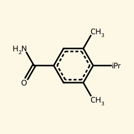 Cc1cc(C(N)=O)cc(C)c1C(C)C